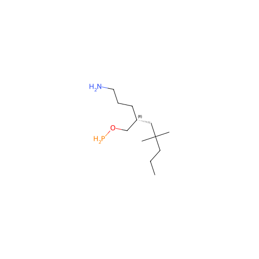 CCCC(C)(C)C[C@@H](CCCN)COP